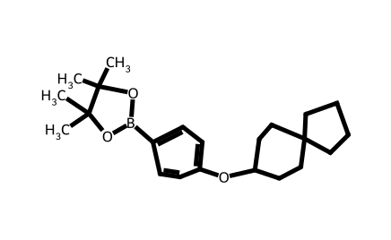 CC1(C)OB(c2ccc(OC3CCC4(CCCC4)CC3)cc2)OC1(C)C